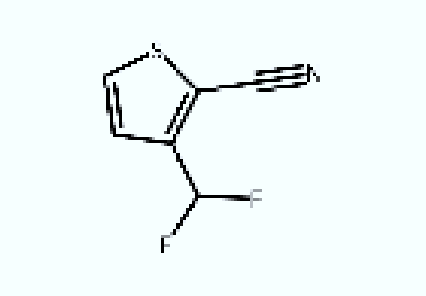 N#Cc1sccc1C(F)F